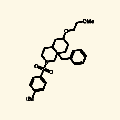 COCCOC1CCC2(Cc3ccccc3)CN(S(=O)(=O)c3ccc(C(C)(C)C)cc3)CCC2C1